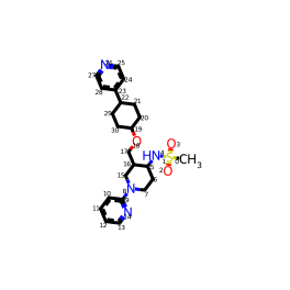 CS(=O)(=O)NC1CCN(c2ccccn2)CC1COC1CCC(c2ccncc2)CC1